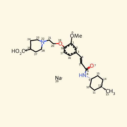 COc1cc(C=CC(=O)N[C@H]2CC[C@H](C)CC2)ccc1OCCN1CCC(C(=O)O)CC1.[Na]